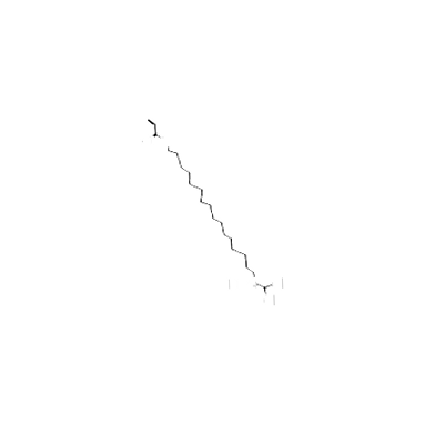 C=CC(=O)OCCCCCCCCCCCCCCCC[SiH2]C(Cl)Cl